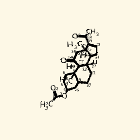 CC(=O)OC1CC[C@@]2(C)C(CC[C@@H]3[C@@H]2C(=O)C[C@]2(C)C(C(C)=O)=CC[C@@H]32)C1